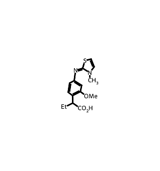 CCC(C(=O)O)c1ccc(N=c2sccn2C)cc1OC